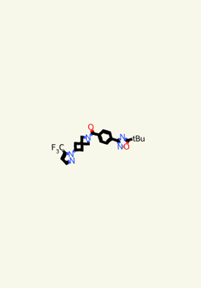 CC(C)(C)c1nc(-c2ccc(C(=O)N3CC4(CC(n5nccc5C(F)(F)F)C4)C3)cc2)no1